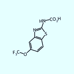 O=C(O)Nc1nc2cc(OC(F)(F)F)ccc2s1